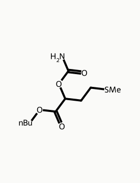 CCCCOC(=O)C(CCSC)OC(N)=O